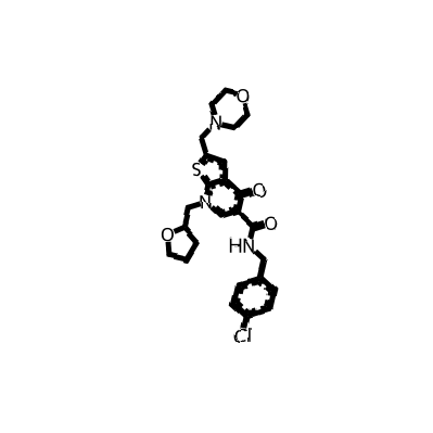 O=C(NCc1ccc(Cl)cc1)c1cn(CC2CCCO2)c2sc(CN3CCOCC3)cc2c1=O